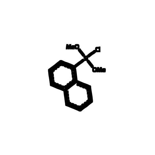 CO[Si](Cl)(OC)c1cccc2ccccc12